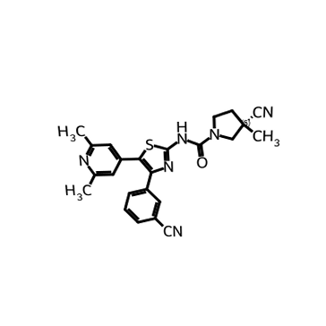 Cc1cc(-c2sc(NC(=O)N3CC[C@](C)(C#N)C3)nc2-c2cccc(C#N)c2)cc(C)n1